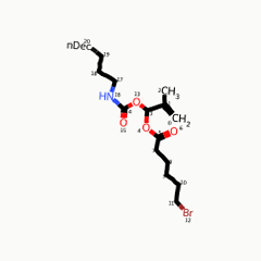 C=C(C)C(OC(=O)CCCCCBr)OC(=O)NCCCCCCCCCCCCC